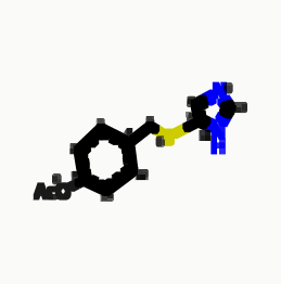 CC(=O)Oc1ccc(CSc2cn[c][nH]2)cc1